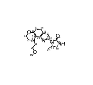 COCCN1CCOc2ccc3sc(N4C(=O)NCC4C)nc3c21